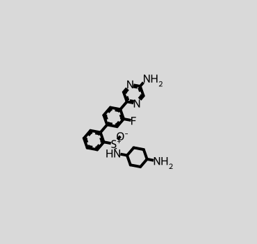 Nc1cnc(-c2ccc(-c3ccccc3[S+]([O-])NC3CCC(N)CC3)cc2F)cn1